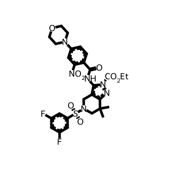 CCOC(=O)n1nc2c(c1NC(=O)c1ccc(N3CCOCC3)cc1[N+](=O)[O-])CN(S(=O)(=O)c1cc(F)cc(F)c1)CC2(C)C